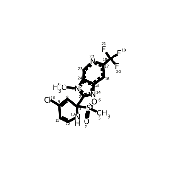 Cn1c(C2(S(C)(=O)=O)C=C(Cl)C=CN2)nc2cc(C(F)(F)F)ncc21